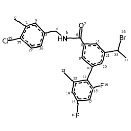 Cc1cc(CNC(=O)c2cc(-c3c(C)cc(F)cc3F)cc(C(C)Br)c2)ccc1Cl